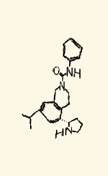 CC(C)c1cc2c(c([C@@H]3CCCN3)c1)CCN(C(=O)Nc1ccccc1)C2